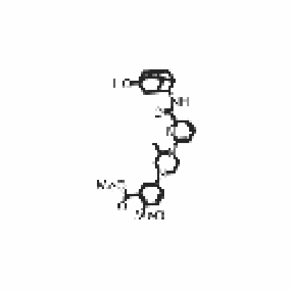 COC(=O)c1cc(N2CCN(c3cccc(C(=O)NC4C5CC6CC4CC(O)(C6)C5)n3)C(C)C2)ccc1OC